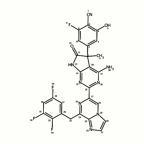 CC1(c2cc(O)c(C#N)c(F)c2)C(=O)Nc2nc(-c3cn4ccnc4c(Cc4cc(F)cc(F)c4F)n3)nc(N)c21